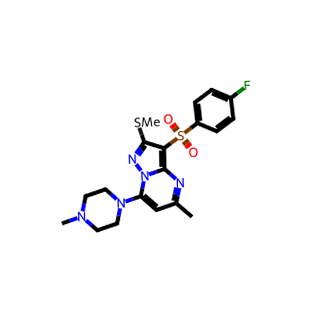 CSc1nn2c(N3CCN(C)CC3)cc(C)nc2c1S(=O)(=O)c1ccc(F)cc1